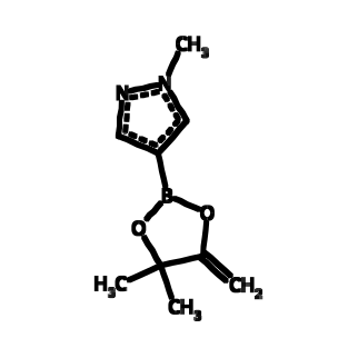 C=C1OB(c2cnn(C)c2)OC1(C)C